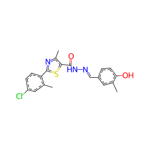 Cc1cc(/C=N/NC(=O)c2sc(-c3ccc(Cl)cc3C)nc2C)ccc1O